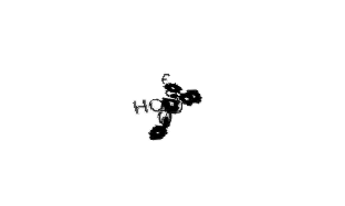 O=C([C@H]1C[C@H](O)[C@@H](OCc2ccccc2)CO1)N1CCc2ccccc2[C@@H]1c1ccc(F)cc1